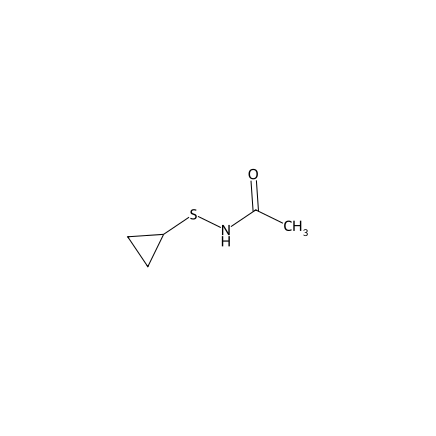 CC(=O)NSC1CC1